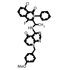 COc1ccc(Cn2ccc(=O)c3c(NC(C)c4c(F)c5cccc(Cl)c5c(=O)n4-c4ccccc4)ncnc32)cc1